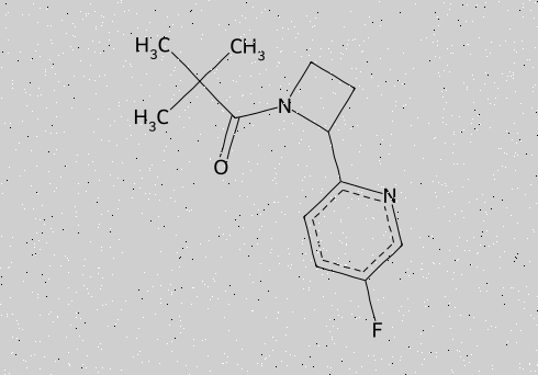 CC(C)(C)C(=O)N1CCC1c1ccc(F)cn1